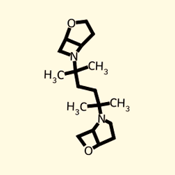 CC(C)(CCC(C)(C)N1CC2OCCC21)N1CCC2OCC21